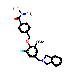 COc1cc(CN2Cc3ccccc3C2)cc(F)c1OCc1ccc(C(=O)N(C)C)cc1